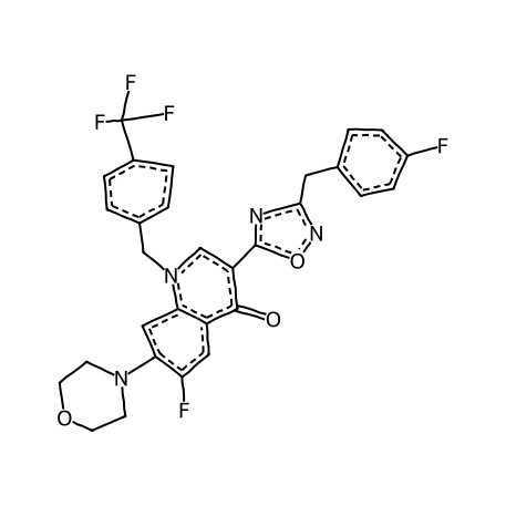 O=c1c(-c2nc(Cc3ccc(F)cc3)no2)cn(Cc2ccc(C(F)(F)F)cc2)c2cc(N3CCOCC3)c(F)cc12